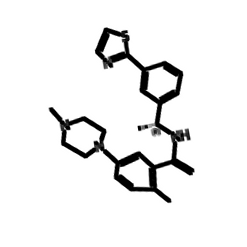 C=C(N[C@H](C)c1cccc(-c2nccs2)c1)c1cc(N2CCN(C)CC2)ccc1C